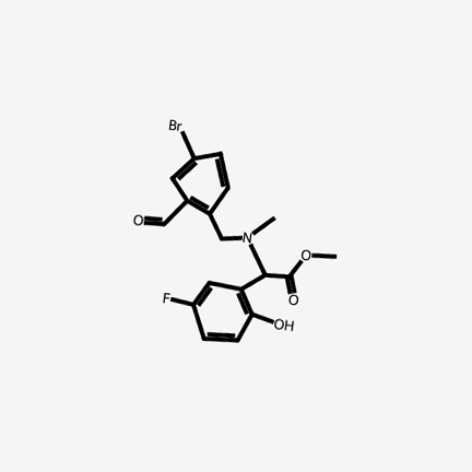 COC(=O)C(c1cc(F)ccc1O)N(C)Cc1ccc(Br)cc1C=O